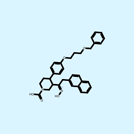 O=C(O)N1CCC(c2ccc(OCCCOCc3ccccc3)cc2)C(/C(Cc2ccc3ccccc3c2)=N\O)C1